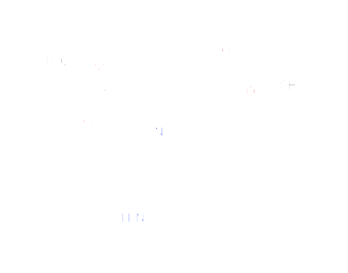 COC(=O)c1cc(C(=O)OC)n(CCN)c1